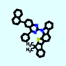 CC1(C)c2ccccc2-c2c1sc1c2ccc2c3ccccc3n(-c3nc(-c4ccccc4)c4cc(-c5cccc6ccccc56)ccc4n3)c21